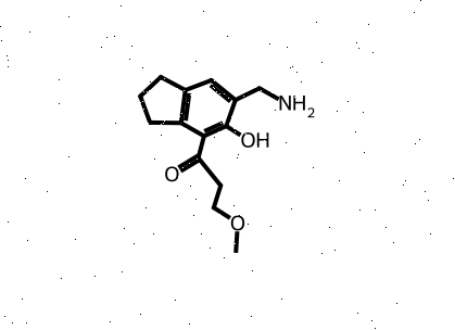 COCCC(=O)c1c(O)c(CN)cc2c1CCC2